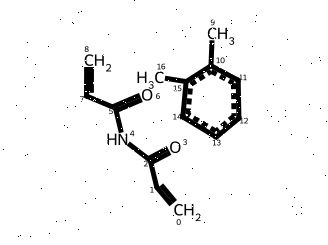 C=CC(=O)NC(=O)C=C.Cc1ccccc1C